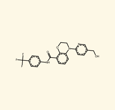 O=C(Nc1ccc(C(F)(F)F)cc1)c1cccc2c1OCCN2c1ccc(CO)cn1